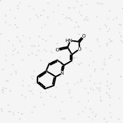 O=C1NC(=O)/C(=C\c2ccc3ccccc3n2)O1